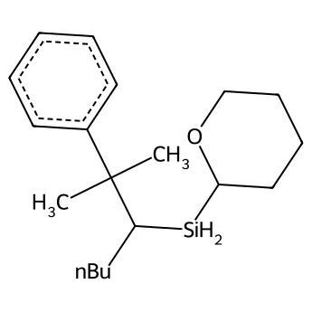 CCCCC([SiH2]C1CCCCO1)C(C)(C)c1ccccc1